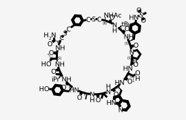 CC(=O)N[C@H]1CSCc2cccc(c2)CSC[C@@H](C(N)=O)NC(=O)[C@H]([C@@H](C)O)NC(=O)[C@](C)(C(C)C)NC(=O)[C@H](Cc2ccc(O)cc2)NC(=O)[C@H](C)NC(=O)C(C)(C)NC(=O)[C@H](Cc2c[nH]c3ncccc23)NC(=O)[C@H]([C@@H](C)O)NC(=O)[C@@H]2CCCN2C(=O)[C@H](Cc2ccc(NS(C)(=O)=O)cc2)NC(=O)[C@H](C(C)(C)C)NC1=O